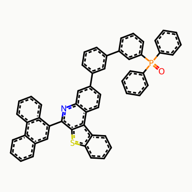 O=P(c1ccccc1)(c1ccccc1)c1cccc(-c2cccc(-c3ccc4c(c3)nc(-c3cc5ccccc5c5ccccc35)c3sc5ccccc5c34)c2)c1